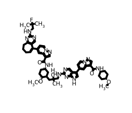 CO[C@H]1CC[C@H](NC(=O)c2cnn3ccc(C4=CCCCc5nc(NCC(C)(C)F)ncc54)cc23)CC1CC(C)(C)CNc1ncc2c(-c3ccn4ncc(C(=O)N[C@H]5CC[C@H](OC)CC5)c4c3)c[nH]c2n1